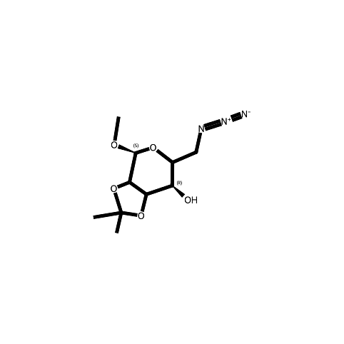 CO[C@H]1OC(CN=[N+]=[N-])[C@@H](O)C2OC(C)(C)OC21